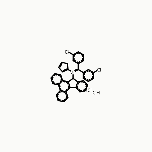 Cl.Cl.Clc1cccc([C](c2cccc(Cl)c2)=[Zr]([C]2=CC=CC2)[CH]2c3ccccc3-c3c2c2ccccc2c2ccccc32)c1